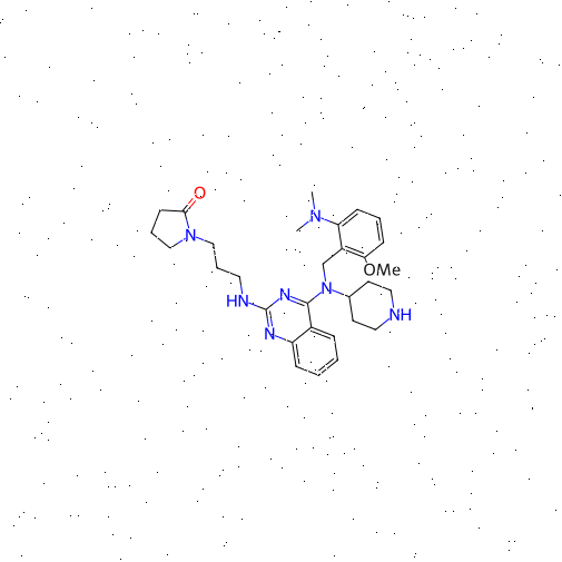 COc1cccc(N(C)C)c1CN(c1nc(NCCCN2CCCC2=O)nc2ccccc12)C1CCNCC1